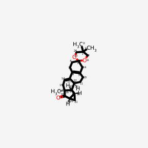 CC1(C)COC2(CCC3=C(CC[C@@H]4C3=CC[C@]3(C)C(=O)[C@H]5C[C@H]5[C@@H]43)C2)OC1